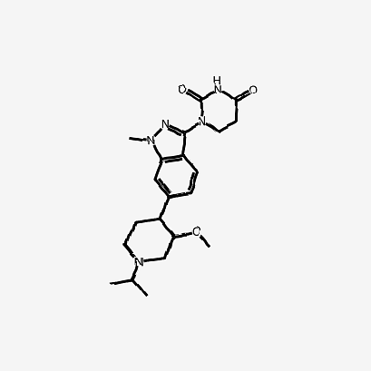 COC1CN(C(C)C)CCC1c1ccc2c(N3CCC(=O)NC3=O)nn(C)c2c1